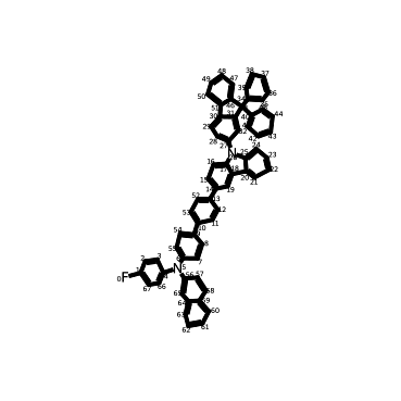 Fc1ccc(N(c2ccc(-c3ccc(-c4ccc5c(c4)c4ccccc4n5-c4ccc5c(c4)C(c4ccccc4)(c4ccccc4)c4ccccc4-5)cc3)cc2)c2ccc3ccccc3c2)cc1